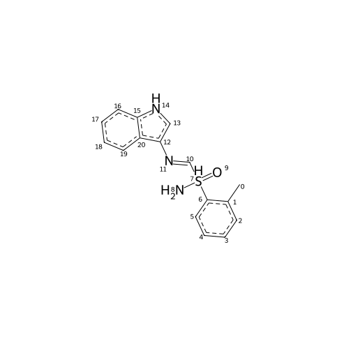 Cc1ccccc1[SH](N)(=O)/C=N/c1c[nH]c2ccccc12